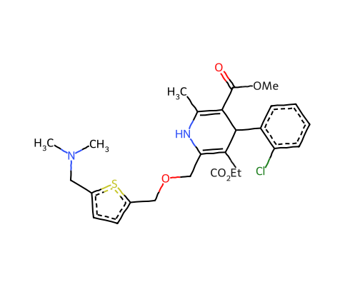 CCOC(=O)C1=C(COCc2ccc(CN(C)C)s2)NC(C)=C(C(=O)OC)C1c1ccccc1Cl